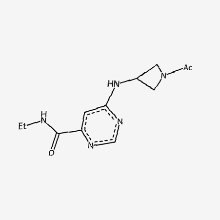 CCNC(=O)c1cc(NC2CN(C(C)=O)C2)ncn1